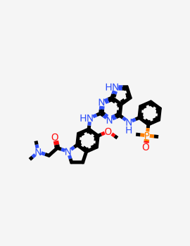 COc1cc2c(cc1Nc1nc(Nc3ccccc3P(C)(C)=O)c3cc[nH]c3n1)N(C(=O)CN(C)C)CC2